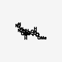 COc1ccc2c(c1)[C@]1(C[C@H]1c1ccc3c(Nc4nc(-c5cncnc5)ncc4OC)n[nH]c3c1)C(=O)N2